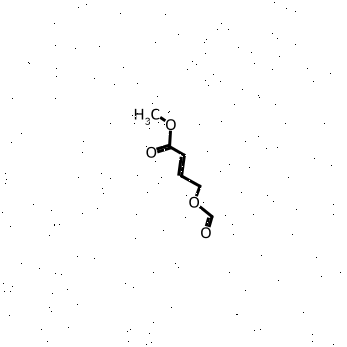 COC(=O)C=CCOC=O